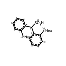 CCCCCCCCCc1ccccc1C(c1ccccc1CCCCCC)S(=O)(=O)O